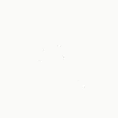 Cc1cccc(C)c1Nc1c(-c2c(N)cccc2OCC(N)=O)nc2ccccn12